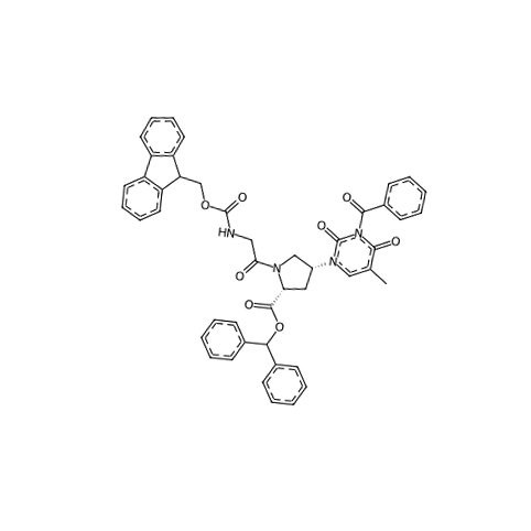 Cc1cn([C@@H]2C[C@H](C(=O)OC(c3ccccc3)c3ccccc3)N(C(=O)CNC(=O)OCC3c4ccccc4-c4ccccc43)C2)c(=O)n(C(=O)c2ccccc2)c1=O